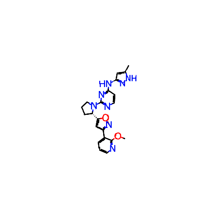 COc1ncccc1-c1cc([C@@H]2CCCN2c2nccc(Nc3cc(C)[nH]n3)n2)on1